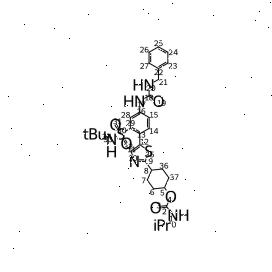 CC(C)NC(=O)OC1CCC(c2ncc(-c3ccc(NC(=O)NCc4ccccc4)cc3S(=O)(=O)NC(C)(C)C)s2)CC1